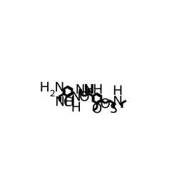 COc1cc(C(=N)OC(=N)Nc2ccc(N)c(C=N)c2Cl)ccc1OCC(=S)NC(C)C